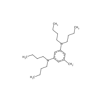 [CH2]c1cc(N(CCCC)CCCC)cc(N(CCCC)CCCC)c1